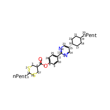 CCCCCC1SCC(C(=O)Oc2ccc(-c3ncc([C@H]4CC[C@H](CCCCC)CC4)cn3)cc2)CS1